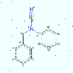 N#CN(Cc1ccccc1)c1ccccc1